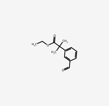 CCOC(=O)C(C)(C)c1cccc(C=O)c1